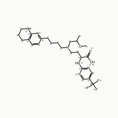 COC(C)CN(CCCCc1ccc2c(n1)NCCC2)CCC(Nc1ncc(C(F)(F)F)cn1)C(=O)O